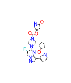 CN1C[C@@H](OC(=O)N2CCN(c3nc4c(-c5cccnc5OC5CCCC5)cnn4cc3F)CC2)CC1=O